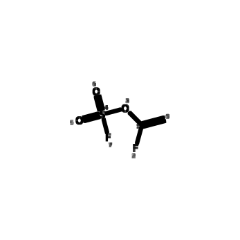 C=C(F)OS(=O)(=O)F